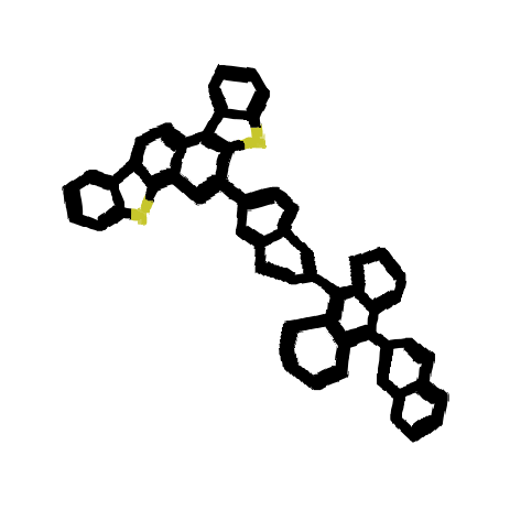 c1ccc2cc(-c3c4ccccc4c(-c4ccc5cc(-c6cc7c(ccc8c9ccccc9sc87)c7c6sc6ccccc67)ccc5c4)c4ccccc34)ccc2c1